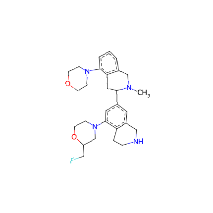 CN1Cc2cccc(N3CCOCC3)c2CC1c1cc2c(c(N3CCOC(CF)C3)c1)CCNC2